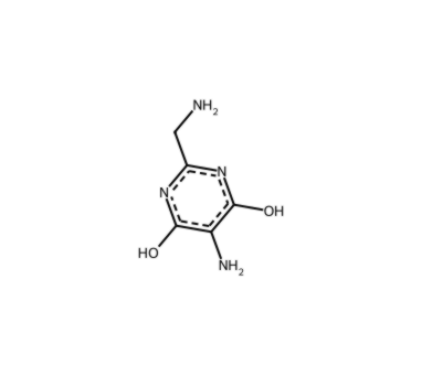 NCc1nc(O)c(N)c(O)n1